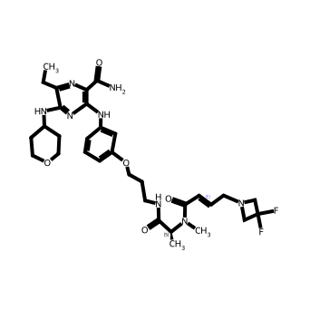 CCc1nc(C(N)=O)c(Nc2cccc(OCCCNC(=O)[C@H](C)N(C)C(=O)/C=C/CN3CC(F)(F)C3)c2)nc1NC1CCOCC1